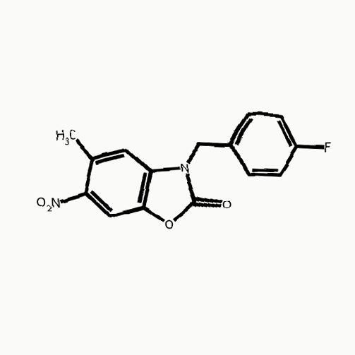 Cc1cc2c(cc1[N+](=O)[O-])oc(=O)n2Cc1ccc(F)cc1